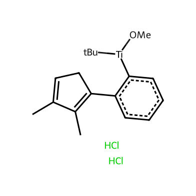 C[O][Ti]([c]1ccccc1C1=C(C)C(C)=CC1)[C](C)(C)C.Cl.Cl